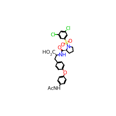 CC(=O)Nc1ccc(Oc2ccc(C[C@H](NC(=O)[C@@H]3CCCN3S(=O)(=O)c3cc(Cl)cc(Cl)c3)C(=O)O)cc2)cc1